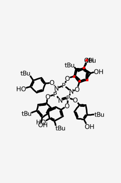 CC(C)(C)c1cc(ON2P(Oc3ccc(O)c(C(C)(C)C)c3)N=P(Oc3ccc(O)c(C(C)(C)C)c3)(Oc3ccc(O)c(C(C)(C)C)c3)N(Oc3ccc(O)c(C(C)(C)C)c3)P2Oc2ccc(O)c(C(C)(C)C)c2)ccc1O